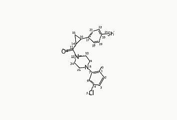 Cc1ccc(Cl)cc1N1CCN(C(=O)C2CC2c2ccc(S)cc2)CC1